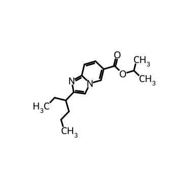 CCCC(CC)c1cn2cc(C(=O)OC(C)C)ccc2n1